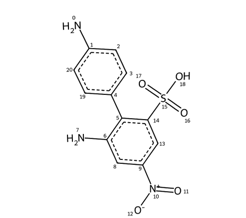 Nc1ccc(-c2c(N)cc([N+](=O)[O-])cc2S(=O)(=O)O)cc1